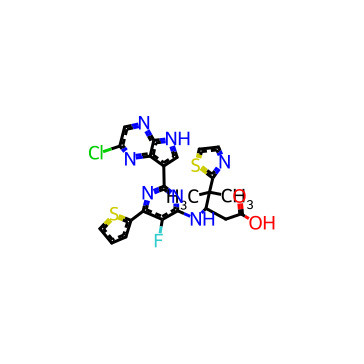 CC(C)(c1nccs1)C(CC(=O)O)Nc1nc(-c2c[nH]c3ncc(Cl)nc23)nc(-c2cccs2)c1F